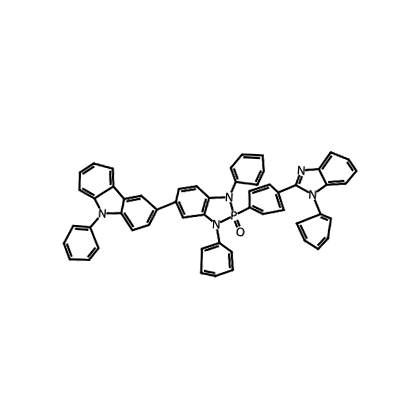 O=P1(c2ccc(-c3nc4ccccc4n3-c3ccccc3)cc2)N(c2ccccc2)c2ccc(-c3ccc4c(c3)c3ccccc3n4-c3ccccc3)cc2N1c1ccccc1